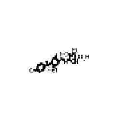 CCN(C(=O)O)C(=O)C(C#N)=NNc1cc(Cl)c(C(C)(C#N)c2ccc(Cl)cc2)cc1C